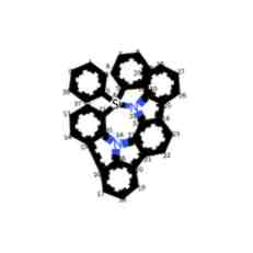 c1ccc([Si]2(c3ccccc3)c3cccc4c5cccc6c7ccc8c9ccccc9n2c8c7n(c34)c56)cc1